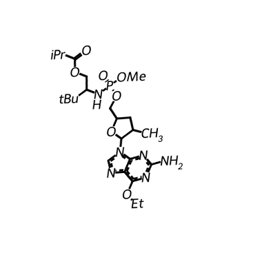 CCOc1nc(N)nc2c1ncn2C1OC(COP(=O)(NC(COC(=O)C(C)C)C(C)(C)C)OC)CC1C